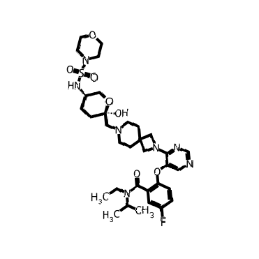 CCN(C(=O)c1cc(F)ccc1Oc1cncnc1N1CC2(CCN(C[C@@]3(O)CC[C@@H](NS(=O)(=O)N4CCOCC4)CO3)CC2)C1)C(C)C